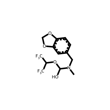 CN(Cc1ccc2c(c1)OCO2)C(O)OC(C(F)(F)F)C(F)(F)F